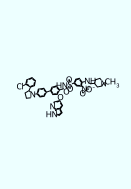 CN1CCC(CNc2ccc(S(=O)(=O)NC(=O)c3ccc(-c4ccc(N5CCCC5c5ccccc5Cl)cc4)cc3Oc3cnc4[nH]ccc4c3)cc2[N+](=O)[O-])CC1